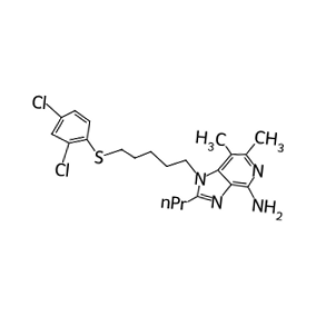 CCCc1nc2c(N)nc(C)c(C)c2n1CCCCCSc1ccc(Cl)cc1Cl